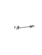 CCCOCCCCCCCCCCCCCCCCC(F)(F)C(F)(F)F